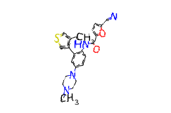 Cc1cscc1-c1cc(N2CCN(C)CC2)ccc1NC(=O)c1ccc(C#N)o1